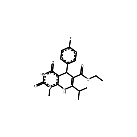 CCOC(=O)C1=C(C(C)C)Nc2c(c(=O)[nH]c(=O)n2C)C1c1ccc(F)cc1